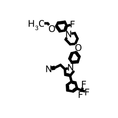 CCOc1ccc(F)c(N2CCC(Oc3ccc(N4CC(c5cccc(C(F)(F)F)c5)=CC4CC#N)cc3)CC2)c1